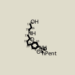 CCCCCS(=O)(=O)Nc1ccc2c(c1)OC(CNCCCO)CC2